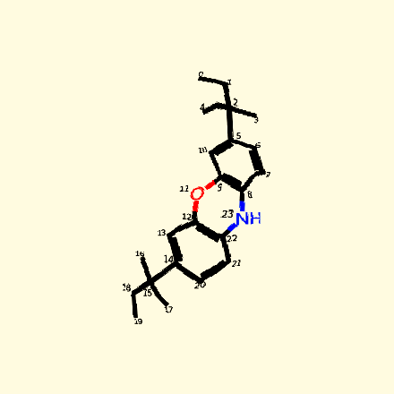 CCC(C)(C)c1ccc2c(c1)Oc1cc(C(C)(C)CC)ccc1N2